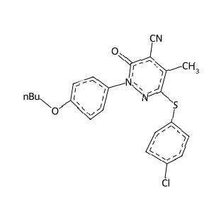 CCCCOc1ccc(-n2nc(Sc3ccc(Cl)cc3)c(C)c(C#N)c2=O)cc1